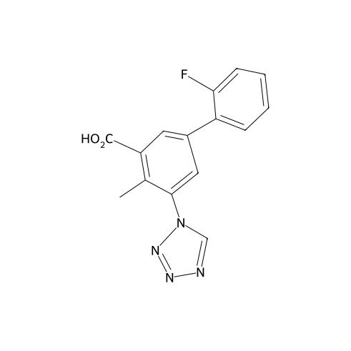 Cc1c(C(=O)O)cc(-c2ccccc2F)cc1-n1cnnn1